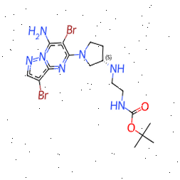 CC(C)(C)OC(=O)NCCN[C@H]1CCN(c2nc3c(Br)cnn3c(N)c2Br)C1